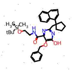 CC(C)(C)[Si](C)(C)OCCNC(=O)c1nc(CC2(c3cccc4ccccc34)CCCC2)nc(O)c1OCc1ccccc1